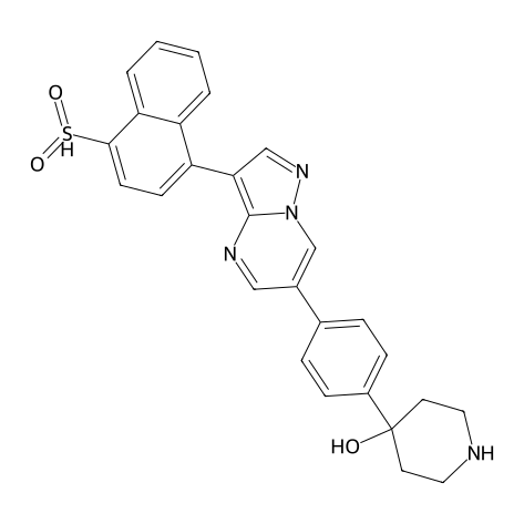 O=[SH](=O)c1ccc(-c2cnn3cc(-c4ccc(C5(O)CCNCC5)cc4)cnc23)c2ccccc12